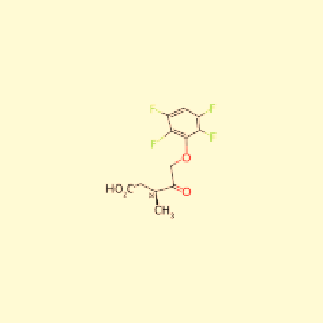 C[C@@H](CC(=O)O)C(=O)COc1c(F)c(F)cc(F)c1F